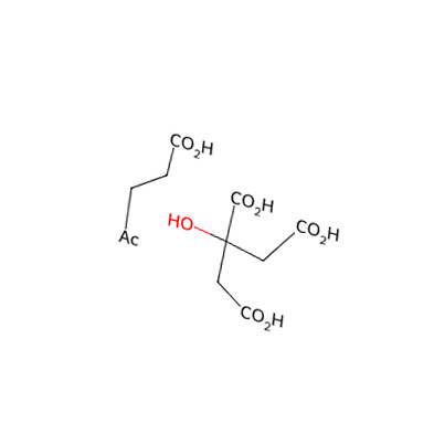 CC(=O)CCC(=O)O.O=C(O)CC(O)(CC(=O)O)C(=O)O